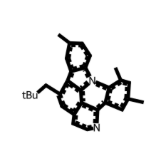 Cc1ccc2c(c1)c1c(CC(C)(C)C)cc3ccnc4c5cc(C)cc(C)c5n2c1c34